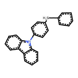 c1ccc([SiH2]c2ccc(-n3c4ccccc4c4ccccc43)cc2)cc1